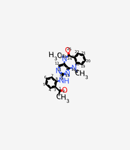 CC(=O)c1ccccc1Nc1ncc2c(n1)N(C)c1ccccc1C(=O)N2C